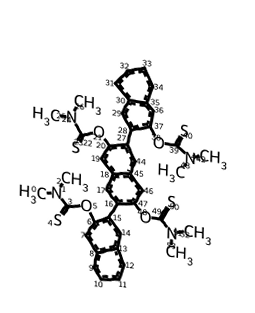 CN(C)C(=S)Oc1cc2ccccc2cc1-c1cc2cc(OC(=S)N(C)C)c(-c3cc4ccccc4cc3OC(=S)N(C)C)cc2cc1OC(=S)N(C)C